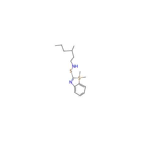 CCCC(C)CCNSC1=Nc2ccccc2S1(C)C